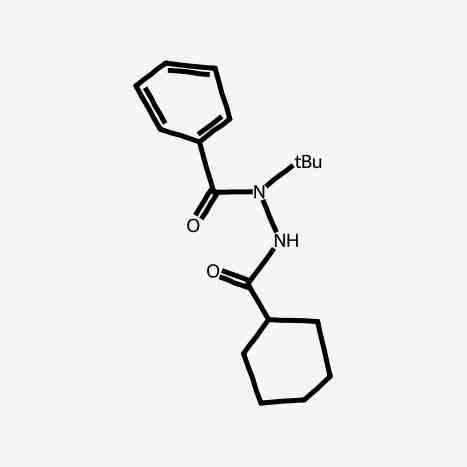 CC(C)(C)N(NC(=O)C1CCCCC1)C(=O)c1ccccc1